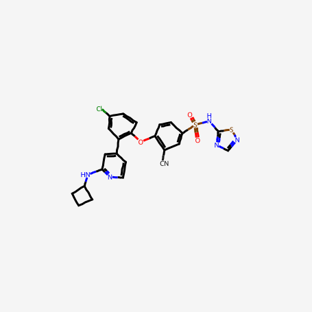 N#Cc1cc(S(=O)(=O)Nc2ncns2)ccc1Oc1ccc(Cl)cc1-c1ccnc(NC2CCC2)c1